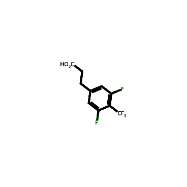 O=C(O)CCc1cc(F)c(C(F)(F)F)c(F)c1